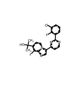 CC(C)(O)c1ccn2c(-c3ccnc(-c4cccc(Cl)c4F)n3)cnc2c1F